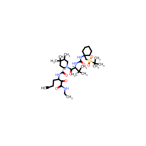 C#CCCC(NC(=O)[C@@H]1CC(C)(C)C(C)CN1C(=O)[C@@H](NC(=O)NC1(CS(=O)(=O)C(C)(C)C)CCCCC1)C(C)(C)C)C(=O)C(=O)NCC